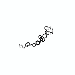 CCCC1(O)CCC2(CCN(c3ccc(OCCOC)cc3)C2=O)CC1